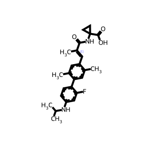 C/C(=C\c1cc(C)c(-c2ccc(NC(C)C)cc2F)cc1C)C(=O)NC1(C(=O)O)CC1